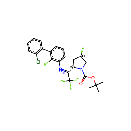 CC(C)(C)OC(=O)N1C[C@H](F)C[C@H]1/C(=N\c1cccc(-c2ccccc2Cl)c1F)C(F)(F)F